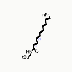 CCCC=CC=CC=C/C=C/C=C/C(=O)NCC(C)(C)C